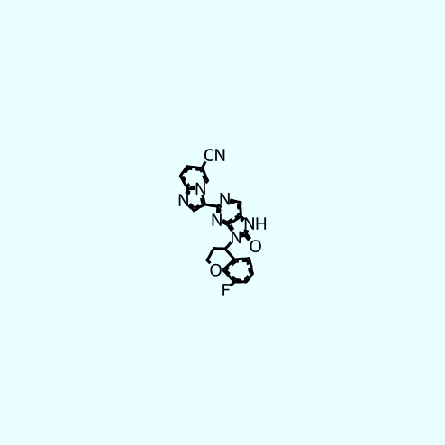 N#Cc1ccc2ncc(-c3ncc4[nH]c(=O)n(C5CCOc6c(F)cccc65)c4n3)n2c1